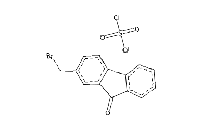 O=C1c2ccccc2-c2ccc(CBr)cc21.O=S(=O)(Cl)Cl